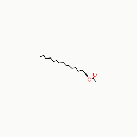 CCC=CCCCCCCCCCCC#COC(C)=O